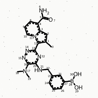 Cc1cc2c(C(N)=O)cccn2c1-c1nnc(N(C)C)c(NCc2cccc(B(O)O)c2)n1